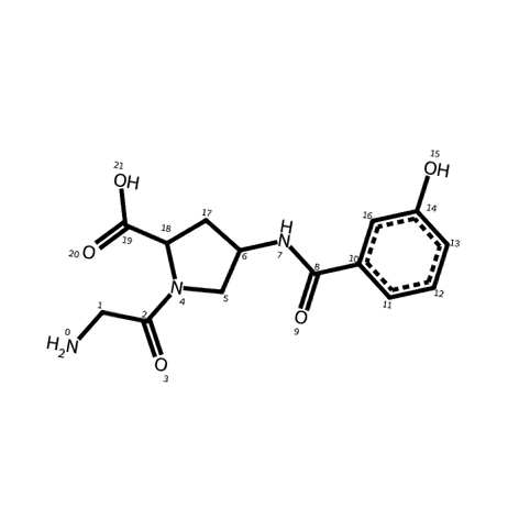 NCC(=O)N1CC(NC(=O)c2cccc(O)c2)CC1C(=O)O